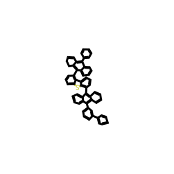 C1=Cc2c(c(-c3cccc4sc5c(-c6c7ccccc7c(-c7cccc(-c8ccccc8)c7)c7ccccc67)cccc5c34)c3ccccc3c2-c2ccccc2)CC1